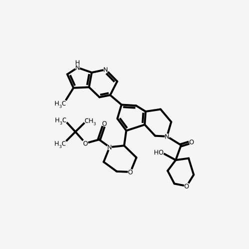 Cc1c[nH]c2ncc(-c3cc4c(c(C5COCCN5C(=O)OC(C)(C)C)c3)CN(C(=O)C3(O)CCOCC3)CC4)cc12